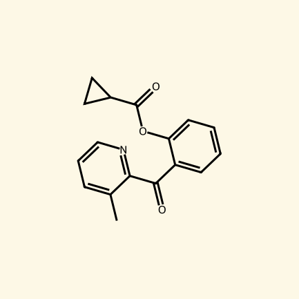 Cc1cccnc1C(=O)c1ccccc1OC(=O)C1CC1